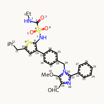 CCNC(=O)S(=O)(=O)Nc1sc(CC(C)C)cc1-c1ccc(Cn2c(-c3ccccc3)nc(C=O)c2OC)cc1